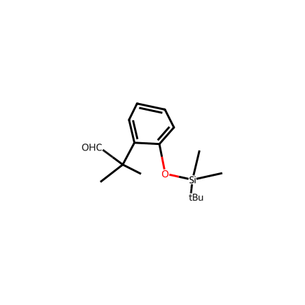 CC(C)(C=O)c1ccccc1O[Si](C)(C)C(C)(C)C